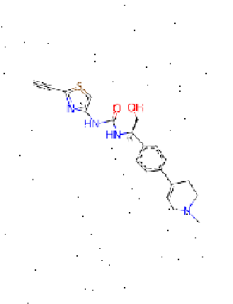 C#Cc1nc(NC(=O)N[C@@H](CO)c2ccc(C3=CCN(C)CC3)cc2)cs1